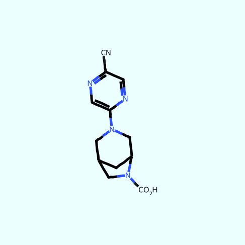 N#Cc1cnc(N2CC3CC(C2)N(C(=O)O)C3)cn1